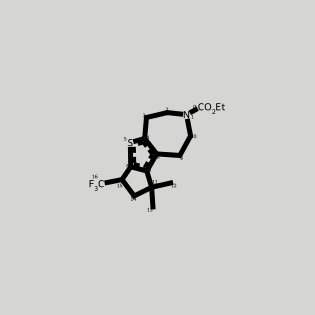 CCOC(=O)N1CCc2sc3c(c2CC1)C(C)(C)CC3C(F)(F)F